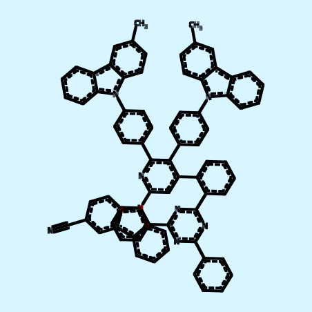 Cc1ccc2c(c1)c1ccccc1n2-c1ccc(-c2nc(-n3c4ccccc4c4cc(C#N)ccc43)cc(-c3ccccc3-c3nc(-c4ccccc4)nc(-c4ccccc4)n3)c2-c2ccc(-n3c4ccccc4c4cc(C)ccc43)cc2)cc1